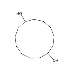 OC1CCCCCCC(O)CCCCC1